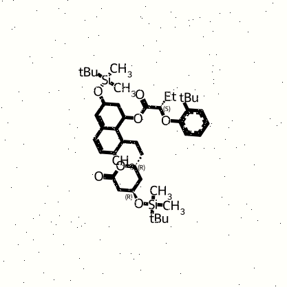 CC[C@H](Oc1ccccc1C(C)(C)C)C(=O)OC1CC(O[Si](C)(C)C(C)(C)C)C=C2C=CC(C)C(CC[C@@H]3C[C@@H](O[Si](C)(C)C(C)(C)C)CC(=O)O3)C21